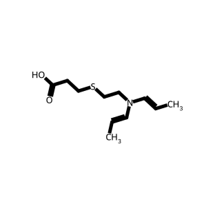 CC=CN(C=CC)CCSCCC(=O)O